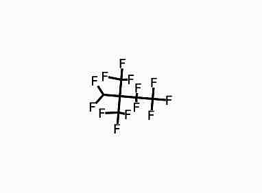 FC(F)C(C(F)(F)F)(C(F)(F)F)C(F)(F)C(F)(F)F